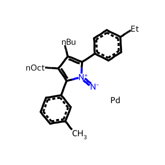 CCCCCCCCC1=C(c2cccc(C)c2)[N+](=[N-])C(c2ccc(CC)cc2)=C1CCCC.[Pd]